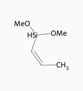 C/C=C\[SiH](OC)OC